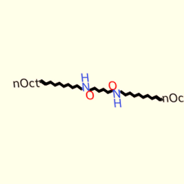 CCCCCCCCC=CCCCCCCCCNC(=O)CCCCC(=O)NCCCCCCCCC=CCCCCCCCC